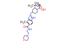 Cc1c(C(=O)NCCN2CCOCC2)ccc2c1CN(CC1CCN(C(=O)O)C(C(C)(C)C)C1)N2